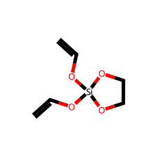 C=CO[Si]1(OC=C)OCCO1